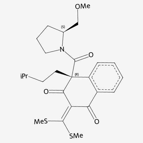 COC[C@@H]1CCCN1C(=O)[C@@]1(CCC(C)C)C(=O)C(=C(SC)SC)C(=O)c2ccccc21